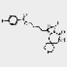 CCn1nc(CCCCOC(=O)c2ccc(F)cc2)c2c1C(=O)NCC1(CCOCC1)C2